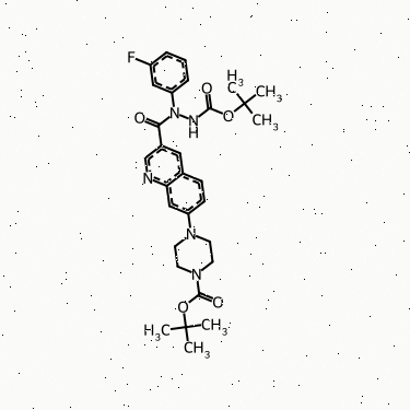 CC(C)(C)OC(=O)NN(C(=O)c1cnc2cc(N3CCN(C(=O)OC(C)(C)C)CC3)ccc2c1)c1cccc(F)c1